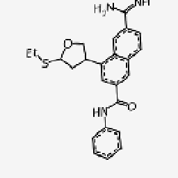 CCSC1CC(c2cc(C(=O)Nc3ccccc3)cc3ccc(C(=N)N)cc23)CO1